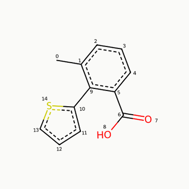 Cc1cccc(C(=O)O)c1-c1cccs1